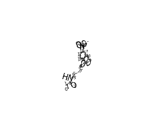 C=CC(=O)NCCCCOc1ccc([N+](=O)[O-])cc1C=O